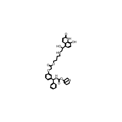 O=C(COc1cccc(C(NC(=O)OC2CN3CCC2CC3)c2ccccc2)c1)OCCCCNCC(O)c1ccc(O)c2[nH]c(=O)ccc12